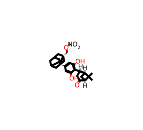 CC1(C)[C@@H]2C[C@H]1[C@H](c1c(O)cc([C@]34CC5CC(C[C@@](CO[N+](=O)[O-])(C5)C3)C4)cc1O)CC2=O